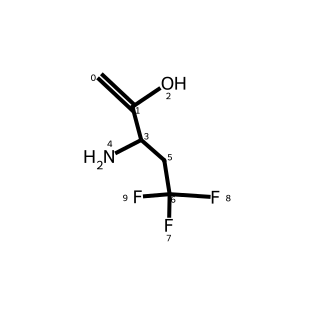 C=C(O)C(N)CC(F)(F)F